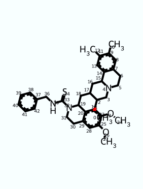 CCC1CN2CCc3cc(C)c(C)cc3C2CC1CC1c2cc(OC)c(OC)cc2CCN1C(=S)NCc1ccccc1